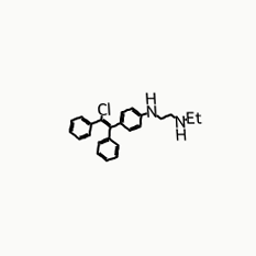 CCNCCNc1ccc(C(=C(Cl)c2ccccc2)c2ccccc2)cc1